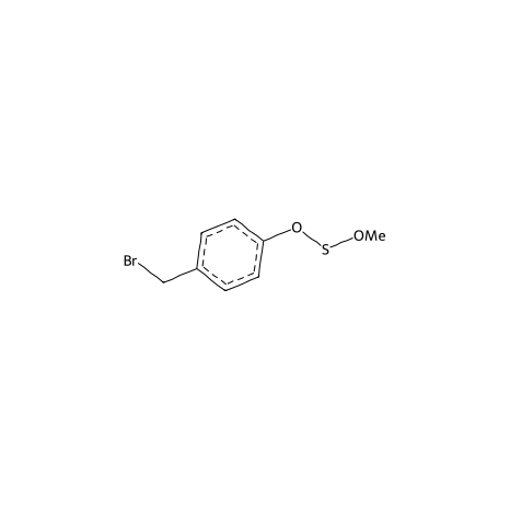 COSOc1ccc(CBr)cc1